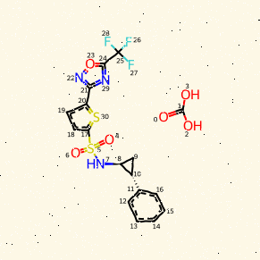 O=C(O)O.O=S(=O)(N[C@H]1C[C@@H]1c1ccccc1)c1ccc(-c2noc(C(F)(F)F)n2)s1